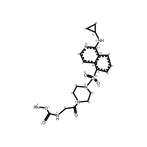 CC(C)(C)OC(=O)NCC(=O)N1CCN(S(=O)(=O)c2cccc3c(NC4CC4)nccc23)CC1